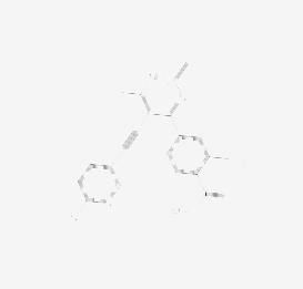 C=C/N=C(\C(C#Cc1ccc(N)nc1)=C(/N)CC)c1ccc(C(=O)OC)c(C(F)(F)F)c1